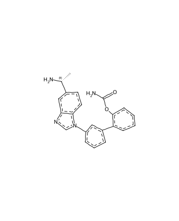 C[C@@H](N)c1ccc2c(c1)ncn2-c1cccc(-c2ccccc2OC(N)=O)c1